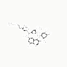 COCCn1cc(C(Nc2cc(Cl)c3ncc(C#N)c(Nc4ccc(F)c(Cl)c4)c3c2)c2cc(C#N)cs2)nn1